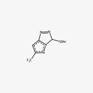 CSC1N=Nc2cc(C(F)(F)F)nn21